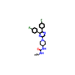 CCCNC(=O)NC1CCN(c2cnc(-c3ccc(F)cc3)c(-c3ccc(F)cc3)n2)CC1